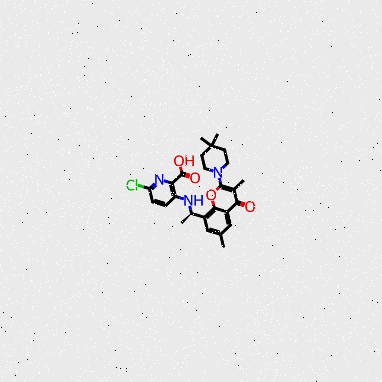 Cc1cc([C@@H](C)Nc2ccc(Cl)nc2C(=O)O)c2oc(N3CCC(C)(C)CC3)c(C)c(=O)c2c1